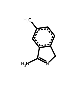 Cc1ccc2c(c1)C(N)=NC2